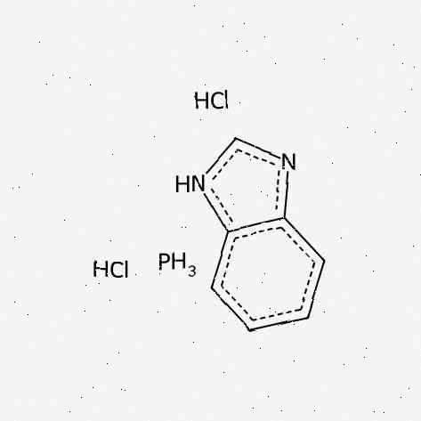 Cl.Cl.P.c1ccc2[nH]cnc2c1